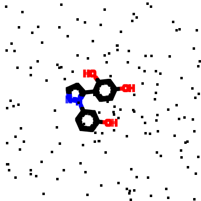 Oc1cccc(-n2nccc2-c2ccc(O)cc2O)c1